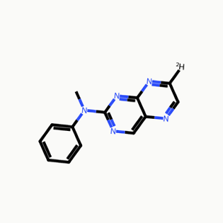 [2H]c1cnc2cnc(N(C)c3ccccc3)nc2n1